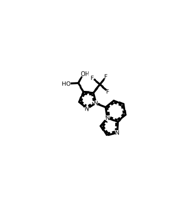 OC(O)c1cnn(-c2cccc3nccn23)c1C(F)(F)F